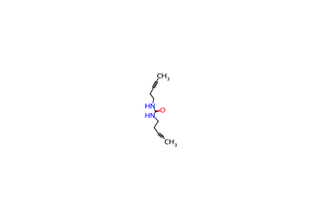 CC#CCCNC(=O)NCCC#CC